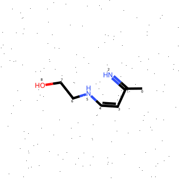 CC(=N)/C=C\NCCO